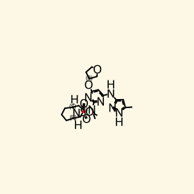 COS(=O)(=O)N1[C@@H]2CCC[C@H]1C[C@H](N(C)c1nc(Nc3cc(C)[nH]n3)cc(O[C@@H]3CCOC3)n1)C2